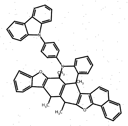 CC1C2=C3C(C)(c4ccccc4N(c4ccc(-n5c6ccccc6c6ccccc65)cc4)C3(C)c3oc4ccccc4c3C2C)c2c1oc1c2ccc2ccccc21